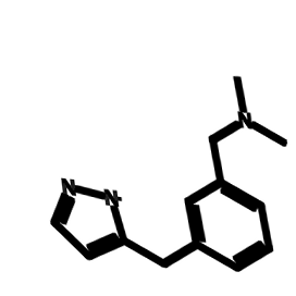 CN(C)Cc1cccc(CC2=CC=N[N]2)c1